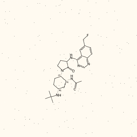 CC(=O)N[C@@H]1C[C@H](NC(C)(C)C)CC[C@@H]1N1CCC(Nc2ncnc3ccc(CF)cc23)C1=O